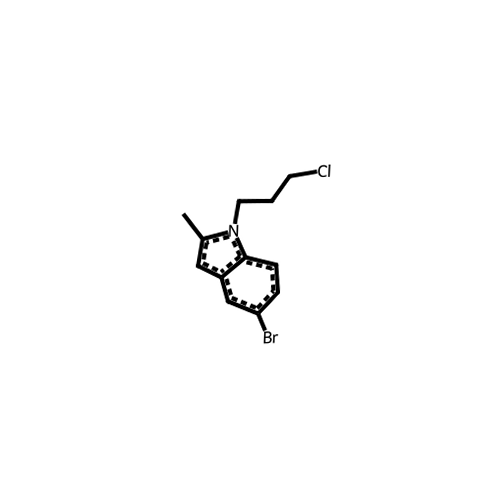 Cc1cc2cc(Br)ccc2n1CCCCl